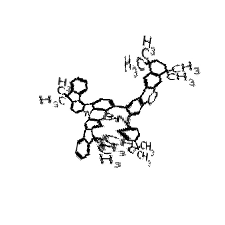 CC(C)(C)c1ccc(N2B3c4cc5c(cc4-n4c6ccc7c(c6c6ccc(c3c64)-c3cc4c(cc32)oc2cc3c(cc24)C(C)(C)CCC3(C)C)-c2ccccc2C7(C)C)-c2ccccc2C5(C)C)cc1